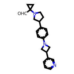 O=CC1(N2CCC(c3ccc(N4CC(c5cccnc5)C4)cc3)C2)CC1